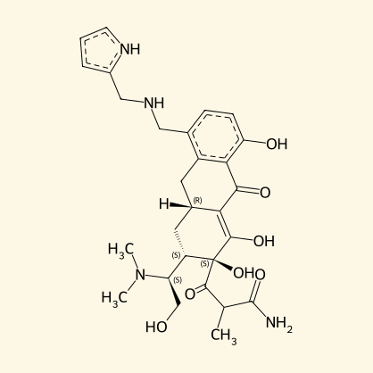 CC(C(N)=O)C(=O)[C@@]1(O)C(O)=C2C(=O)c3c(O)ccc(CNCc4ccc[nH]4)c3C[C@H]2C[C@H]1[C@@H](CO)N(C)C